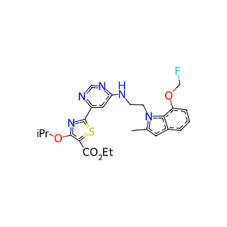 CCOC(=O)c1sc(-c2cc(NCCn3c(C)cc4cccc(OCF)c43)ncn2)nc1OC(C)C